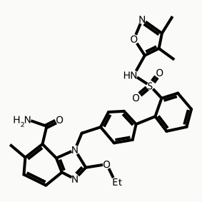 CCOc1nc2ccc(C)c(C(N)=O)c2n1Cc1ccc(-c2ccccc2S(=O)(=O)Nc2onc(C)c2C)cc1